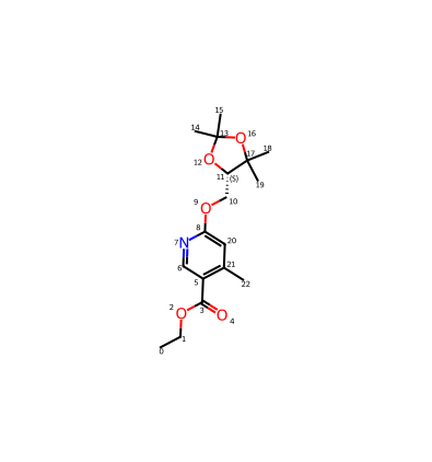 CCOC(=O)c1cnc(OC[C@@H]2OC(C)(C)OC2(C)C)cc1C